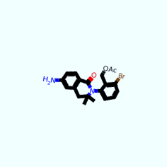 CC(=O)OCc1c(Br)cccc1N1C(=O)c2ccc(N)cc2CC1(C)C